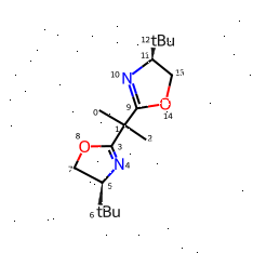 CC(C)(C1=N[C@@H](C(C)(C)C)CO1)C1=N[C@@H](C(C)(C)C)CO1